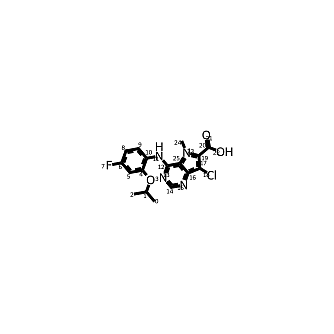 CC(C)Oc1cc(F)ccc1Nc1ncnc2c(Cl)c(C(=O)O)n(C)c12